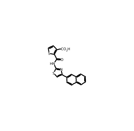 O=C(O)c1ccsc1C(=O)Nc1nc(-c2ccc3ccccc3c2)cs1